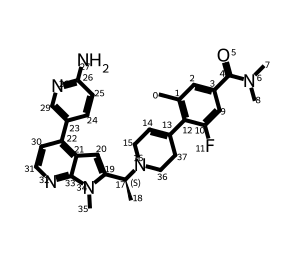 Cc1cc(C(=O)N(C)C)cc(F)c1C1=CCN([C@@H](C)c2cc3c(-c4ccc(N)nc4)ccnc3n2C)CC1